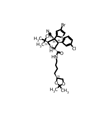 CC1(C)OC[C@H](CCCCNC(=O)[C@@H]2N[C@@H](C(C)(C)C)[C@](C#N)(c3cc(Br)cs3)[C@H]2c2cccc(Cl)c2)O1